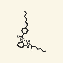 CCCC/C=C/c1ccc(C(=O)Nc2ccccc2S(=O)(=O)NC(=O)CCCCC)cc1